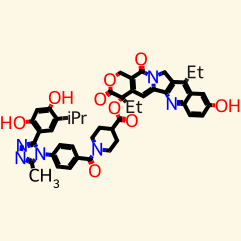 CCc1c2c(nc3ccc(O)cc13)-c1cc3c(c(=O)n1C2)COC(=O)C3(CC)OC(=O)C1CCN(C(=O)c2ccc(-n3c(C)nnc3-c3cc(C(C)C)c(O)cc3O)cc2)CC1